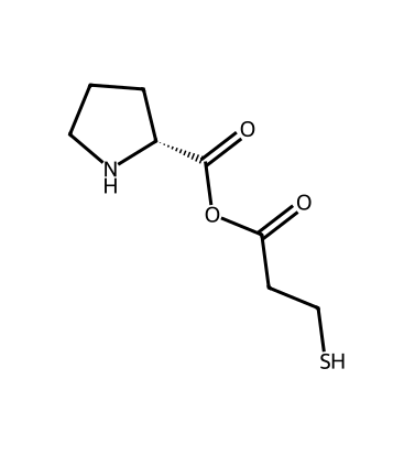 O=C(CCS)OC(=O)[C@H]1CCCN1